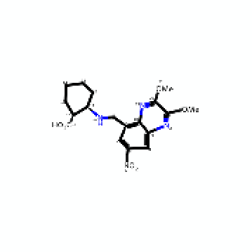 COc1nc2cc([N+](=O)[O-])cc(CN[C@@H]3CCCC[C@@H]3C(=O)O)c2nc1OC